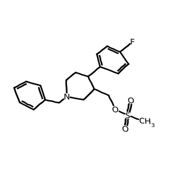 CS(=O)(=O)OCC1CN(Cc2ccccc2)CCC1c1ccc(F)cc1